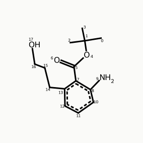 CC(C)(C)OC(=O)c1c(N)cccc1CCCO